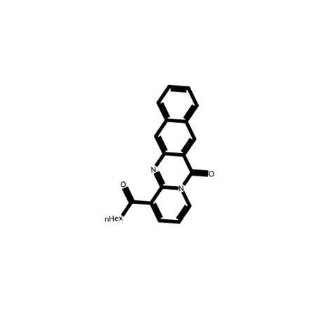 CCCCCCC(=O)c1cccn2c(=O)c3cc4ccccc4cc3nc12